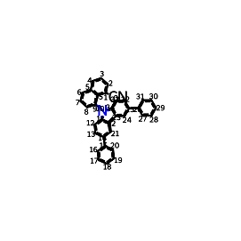 N#Cc1cccc2cccc(-n3c4ccc(-c5ccccc5)cc4c4cc(-c5ccccc5)ccc43)c12